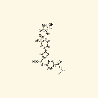 CC(Oc1cnc(C(=O)C2CC2)cn1)c1cc(-c2ccc(C(=O)N[C@@H](CO)C(N)=O)c(F)c2)ns1